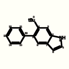 CC(C)(C)c1cc2[nH]ccc2cc1-c1ccccc1